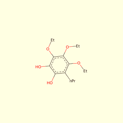 CCCc1c(O)c(O)c(OCC)c(OCC)c1OCC